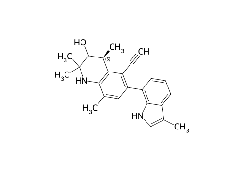 C#Cc1c(-c2cccc3c(C)c[nH]c23)cc(C)c2c1[C@H](C)C(O)C(C)(C)N2